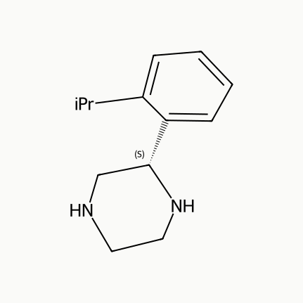 CC(C)c1ccccc1[C@H]1CNCCN1